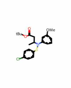 COc1cccc(N(Sc2ccc(Cl)cc2)C(C)CC(=O)OC(C)(C)C)c1